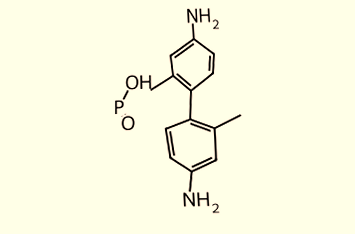 Cc1cc(N)ccc1-c1ccc(N)cc1C.O=PO